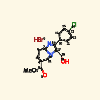 Br.COC(=O)c1ccc2nc(-c3ccc(Cl)cc3)c(CO)n2c1